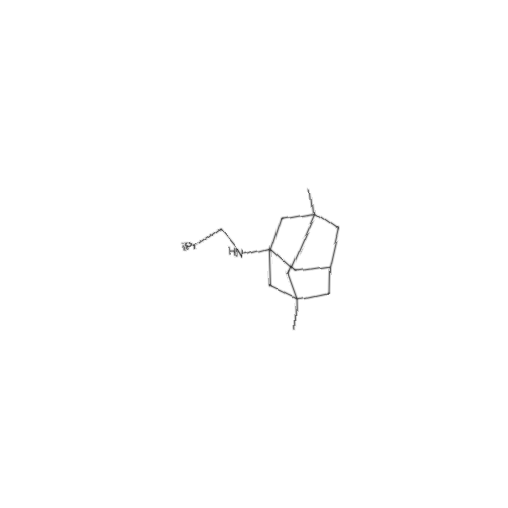 CC(C)CNC12CC3CC(C)(CC(C)(C3)C1)C2